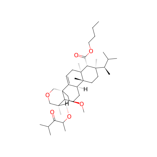 CCCCOC(=O)[C@@H]1[C@@](C)([C@H](C)C(C)C)CC[C@]2(C)[C@H]3CC[C@@H]4[C@@]5(COC[C@]4(C)[C@@H](OC(C)C(=O)C(C)C)[C@H](OC)C5)C3=CC[C@@]12C